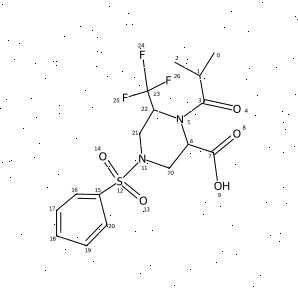 CC(C)C(=O)N1C(C(=O)O)CN(S(=O)(=O)c2ccccc2)CC1C(F)(F)F